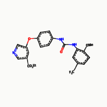 CCOC(=O)c1cncc(Oc2ccc(NC(=O)Nc3cc(C(F)(F)F)ccc3OC)cc2)c1